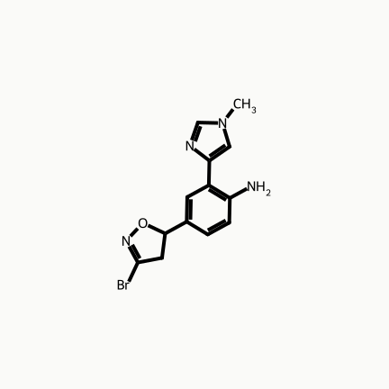 Cn1cnc(-c2cc(C3CC(Br)=NO3)ccc2N)c1